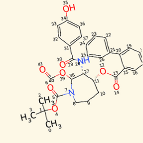 CC(C)(C)OC(=O)N1CCC[C@@H](OC(=O)c2ccccc2-c2ccccc2)[C@@H](NC(=O)c2ccc(O)cc2)C1OC=O